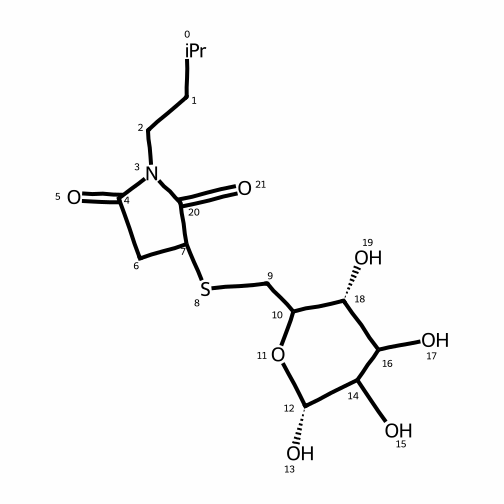 CC(C)CCN1C(=O)CC(SCC2O[C@@H](O)C(O)C(O)[C@H]2O)C1=O